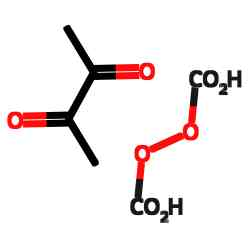 CC(=O)C(C)=O.O=C(O)OOC(=O)O